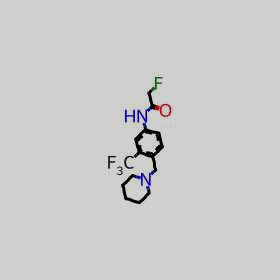 O=C(CF)Nc1ccc(CN2CCCCC2)c(C(F)(F)F)c1